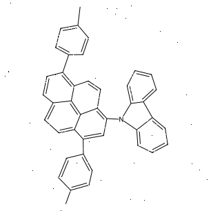 Cc1ccc(-c2ccc3ccc4c(-c5ccc(C)cc5)cc(-n5c6ccccc6c6ccccc65)c5ccc2c3c45)cc1